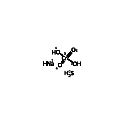 S.[NaH].[O]=[Cr](=[O])([OH])[OH]